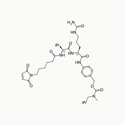 CC(C)CN(C)C(=O)OCc1ccc(NC(=O)[C@H](CCCNC(N)=O)NC(=O)[C@@H](NC(=O)CCCCCN2C(=O)C=CC2=O)C(C)C)cc1